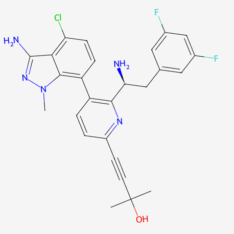 Cn1nc(N)c2c(Cl)ccc(-c3ccc(C#CC(C)(C)O)nc3[C@@H](N)Cc3cc(F)cc(F)c3)c21